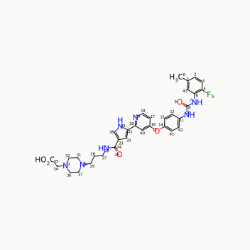 Cc1ccc(F)c(NC(=O)Nc2ccc(Oc3ccnc(-c4cc(C(=O)NCCCN5CCN(CC(=O)O)CC5)c[nH]4)c3)cc2)c1